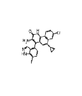 Nc1c(-c2ccc(F)c3[nH]ncc23)c2cc(C3CC3)c3cc(Cl)ccc3c2[nH]c1=O